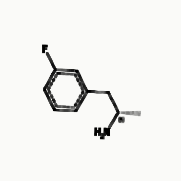 C[C@H](N)Cc1cccc(F)c1